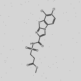 COC(=O)CCS(=O)(=O)NC(=O)c1cn2c(n1)sc1c(Cl)c(Cl)ccc12